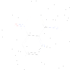 NC(=S)c1ncccc1[N+](=O)[O-]